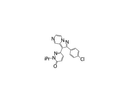 CC(C)n1nc(-c2c(-c3ccc(Cl)cc3)nn3ccncc23)ccc1=O